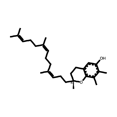 CC(C)=CCCC(C)=CCCC(C)=CCC[C@]1(C)CCc2cc(O)c(C)c(C)c2O1